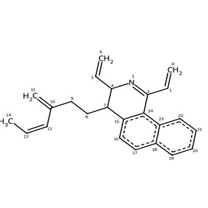 C=CC1=NC(C=C)C(CCC(=C)/C=C\C)c2ccc3ccccc3c21